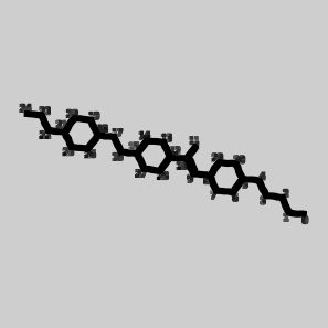 CCCCCC1CCC(/C=C(\C)C2CCC(CCC3CCC(CCC)CC3)CC2)CC1